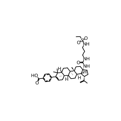 C=C(C)[C@@H]1CC[C@]2(NC(=O)NCCCNS(=O)(=O)CC)CC[C@]3(C)[C@H](CC[C@@H]4[C@@]5(C)CC=C(c6ccc(C(=O)O)cc6)C(C)(C)[C@@H]5CC[C@]43C)[C@@H]12